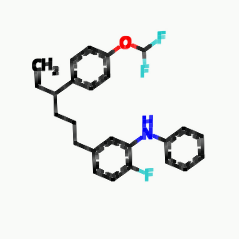 C=CC(CCCc1ccc(F)c(Nc2ccccc2)c1)c1ccc(OC(F)F)cc1